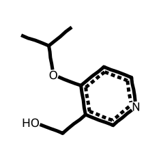 CC(C)Oc1ccncc1CO